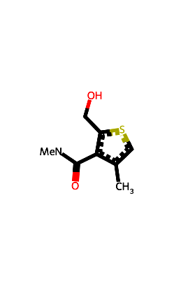 CNC(=O)c1c(C)csc1CO